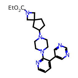 CCOC(=O)N1CC2(CCC(N3CCN(c4ncccc4-c4cncnc4)CC3)C2)C1